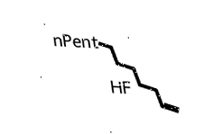 C=CCCCCCCCCCC.F